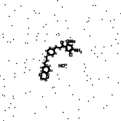 COc1cc(N)c(Cl)cc1C(=O)CCC1CCN(CCCc2ccc3c(c2)OCCO3)CC1.Cl